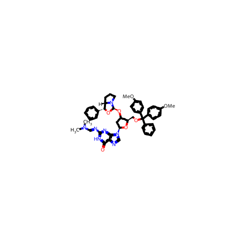 COc1ccc(C(OC[C@H]2O[C@@H](n3cnc4c(=O)[nH]c(/N=C/N(C)C)nc43)CC2O[C@H]2O[C@H](c3ccccc3)[C@@H]3CCCN23)(c2ccccc2)c2ccc(OC)cc2)cc1